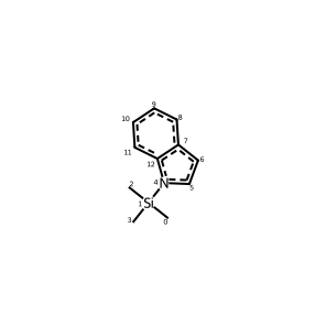 C[Si](C)(C)n1ccc2ccccc21